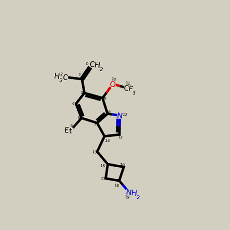 C=C(C)c1cc(CC)c2c(c1OC(F)(F)F)N=CC2CC1CC(N)C1